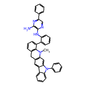 CN1c2cc3c(cc2Cc2cccc(-c4ccccc4Nc4ncc(-c5ccccc5)nc4N)c21)c1ccccc1n3-c1ccccc1